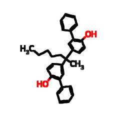 CCCCCC(C)(c1ccc(O)c(-c2ccccc2)c1)c1ccc(O)c(-c2ccccc2)c1